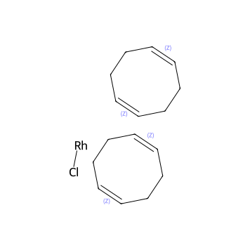 C1=C\CC/C=C\CC/1.C1=C\CC/C=C\CC/1.[Cl][Rh]